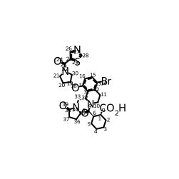 O=C(O)[C@H]1CCCC[C@H]1C(=O)N1CCc2c(Br)ccc(O[C@H]3CCN(C(=O)c4cncs4)C3)c2[C@H]1CN1CCCC1=O